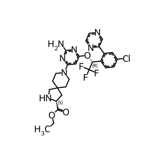 CCOC(=O)[C@@H]1CC2(CCN(c3cc(O[C@H](c4ccc(Cl)cc4-c4cnccn4)C(F)(F)F)nc(N)n3)CC2)CN1